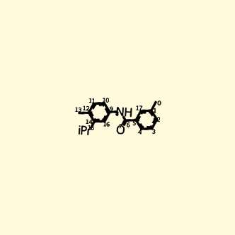 Cc1cccc(C(=O)Nc2ccc(C)c(C(C)C)c2)c1